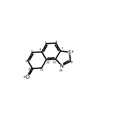 O=C1C=Cc2ccc3scnc3c2C1